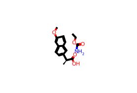 CCOC(N)=O.COc1ccc2cc([C@H](C)C(=O)O)ccc2c1